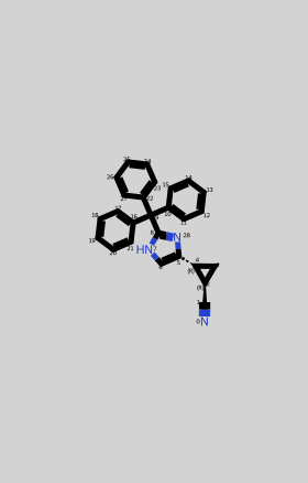 N#C[C@@H]1C[C@H]1c1c[nH]c(C(c2ccccc2)(c2ccccc2)c2ccccc2)n1